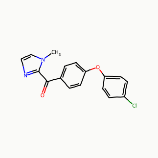 Cn1ccnc1C(=O)c1ccc(Oc2ccc(Cl)cc2)cc1